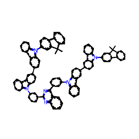 CC1(C)c2ccccc2-c2ccc(-n3c4ccccc4c4cc(-c5ccc6c(c5)c5ccccc5n6-c5cccc(-c6nc(-c7cccc(-n8c9ccccc9c9cc(-c%10ccc%11c(c%10)c%10ccccc%10n%11-c%10ccc%11c(c%10)C(C)(C)c%10ccccc%10-%11)ccc98)c7)c7ccccc7n6)c5)ccc43)cc21